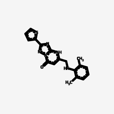 Cc1cccc(C)c1NCc1cc(=O)n2nc(-c3cccs3)nc2[nH]1